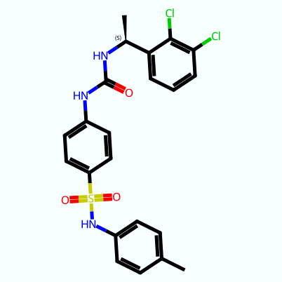 Cc1ccc(NS(=O)(=O)c2ccc(NC(=O)N[C@@H](C)c3cccc(Cl)c3Cl)cc2)cc1